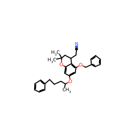 CC(CCCc1ccccc1)Oc1cc(OCc2ccccc2)c2c(c1)OC(C)(C)CC2CC#N